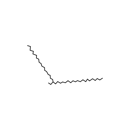 CCCCCCCCCCCCCCCCCCCCC(CC)CCCCCCCCCCCCCCCCCC